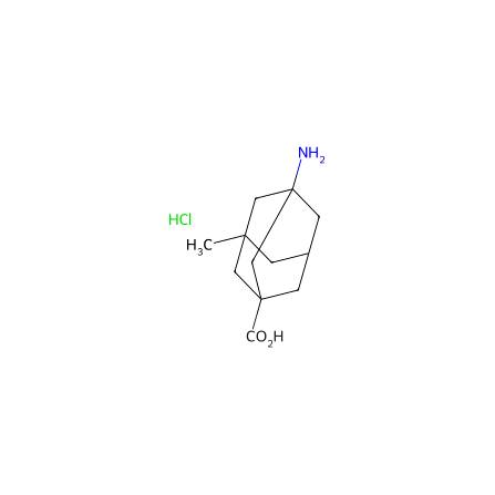 CC12CC3CC(N)(C1)CC(C(=O)O)(C3)C2.Cl